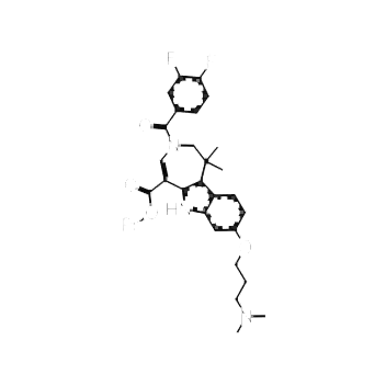 CC(C)OC(=O)C1=CN(C(=O)c2ccc(F)c(F)c2)CC(C)(C)c2c1[nH]c1cc(OCCCN(C)C)ccc21